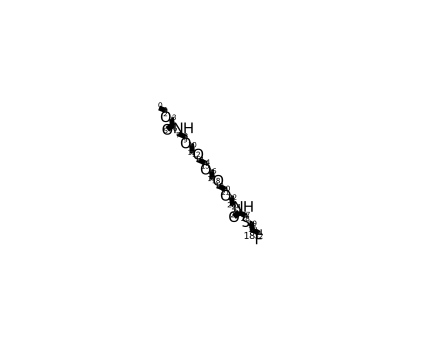 CCOCC(=O)NCCOCCOCCOCCOCCOCCNC(=O)CSCCC[18F]